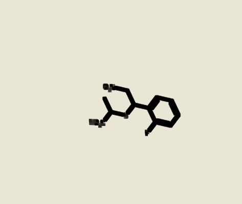 CC(SC(C[N+](=O)[O-])c1ccccc1F)C(=O)O